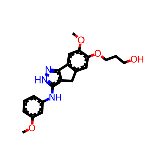 COc1cccc(Nc2[nH]nc3c2Cc2cc(OCCCO)c(OC)cc2-3)c1